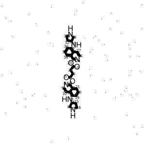 O=C(CCC(=O)Oc1nccc2c(NC3CCNC3)cccc12)Oc1nccc2c(NC3CCNC3)cccc12